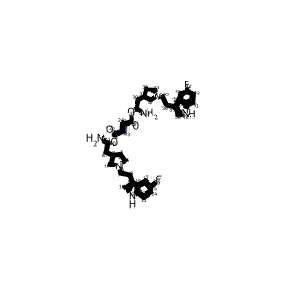 NC(CC1CCN(CCc2c[nH]c3ccc(F)cc23)C1)OC(=O)/C=C/C(=O)OC(N)CC1CCN(CCc2c[nH]c3ccc(F)cc23)C1